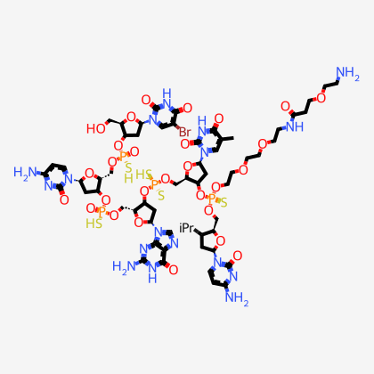 Cc1cn([C@H]2CC(OP(=S)(OCCOCCOCCNC(=O)CCOCCN)OC[C@H]3O[C@@H](n4ccc(N)nc4=O)CC3C(C)C)[C@@H](COP(=S)(S)OC3C[C@H](n4cnc5c(=O)[nH]c(N)nc54)O[C@@H]3COP(=O)(S)OC3C[C@H](n4ccc(N)nc4=O)O[C@@H]3COP(=O)(S)OC3C[C@H](n4cc(Br)c(=O)[nH]c4=O)O[C@@H]3CO)O2)c(=O)[nH]c1=O